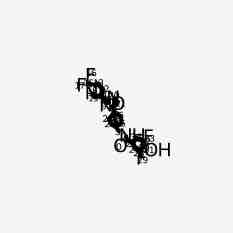 O=C(NCC12CCC(c3nc(-c4ccc(C(F)F)nc4)no3)(CC1)CC2)c1cc(F)c(O)c(F)c1